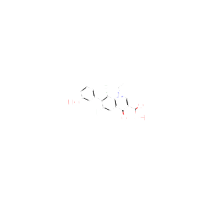 CCn1cc(C(=O)O)c(=O)c2cc(F)c(-c3cccc(O)c3)c(F)c21